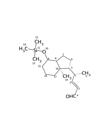 C[C@H](/C=C/C=O)[C@H]1CCC2C(O[Si](C)(C)C)CCC[C@@]21C